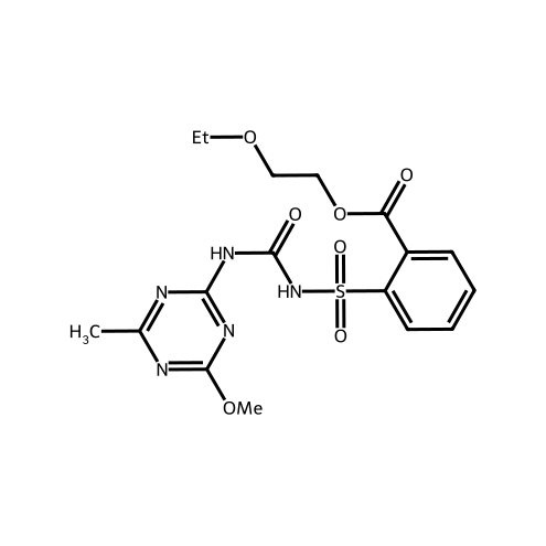 CCOCCOC(=O)c1ccccc1S(=O)(=O)NC(=O)Nc1nc(C)nc(OC)n1